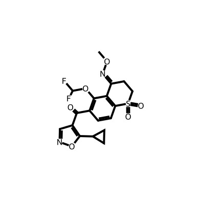 CON=C1CCS(=O)(=O)c2ccc(C(=O)c3cnoc3C3CC3)c(OC(F)F)c21